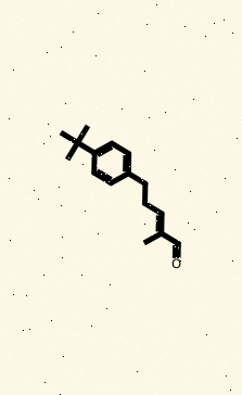 C/C(C=O)=C\CCc1ccc(C(C)(C)C)cc1